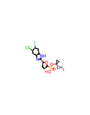 CC1(OP(=O)(O)c2ccc(-c3nc4cc(Cl)c(F)cc4[nH]3)o2)CC1